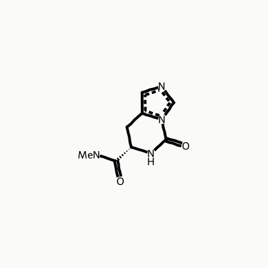 CNC(=O)[C@@H]1Cc2cncn2C(=O)N1